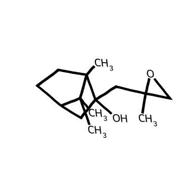 CC1(CC2(O)CC3CCC2(C)C3(C)C)CO1